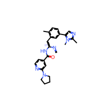 C=N/C(=C\c1cc(-c2cnc(C)n2C)ccc1C)NC(=O)c1ccnc(N2CCCC2)c1